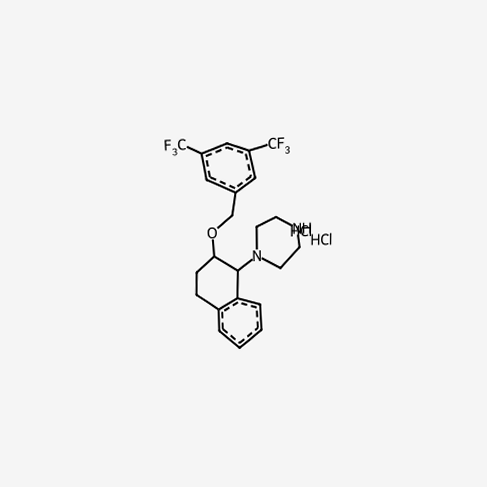 Cl.Cl.FC(F)(F)c1cc(COC2CCc3ccccc3C2N2CCNCC2)cc(C(F)(F)F)c1